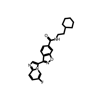 O=C(NCCC1CCCCC1)c1ccc2c(-c3cnc4ccc(F)cn34)noc2c1